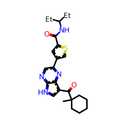 CCC(CC)NC(=O)c1cc(-c2cnc3[nH]cc(C(=O)C4(C)CCCCC4)c3n2)cs1